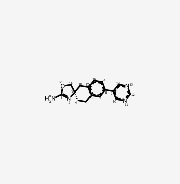 NC1=N[C@@]2(CCc3cc(-c4cncnc4)ccc3C2)CO1